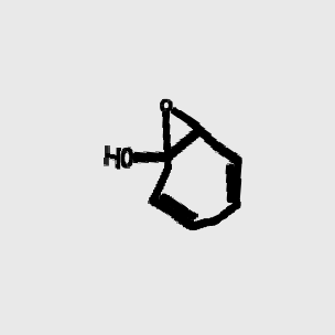 OC12C=CC=CC1O2